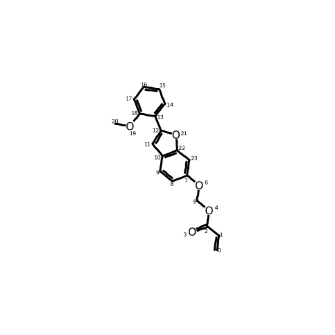 C=CC(=O)OCOc1ccc2cc(-c3ccccc3OC)oc2c1